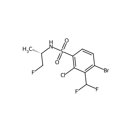 C[C@@H](CF)NS(=O)(=O)c1ccc(Br)c(C(F)F)c1Cl